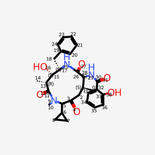 C[C@H]1CC(=O)C(C2CC2)N(C)C(=O)[C@H](C)[C@H](O)[C@H](Cc2ccccc2)NC(=O)[C@H]1NC(=O)c1ccccc1O